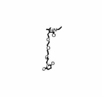 CCNC(=O)C(CCOCCOCCOCCN1C(=O)CCC1=O)C(C)C